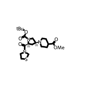 COC(=O)C1CCN([C@H]2C[C@@H](C(=O)N3CCSC3)N(C(=O)OC(C)(C)C)C2)CC1